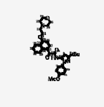 COc1ccc(-n2nc(C(C)(C)C)cc2NC(=O)C(=O)c2ccc(OCCN3CCOCC3)c3ccccc23)cc1